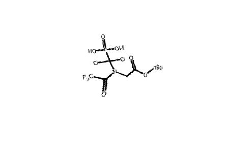 CCCCOC(=O)CN(C(=O)C(F)(F)F)C(Cl)(Cl)P(=O)(O)O